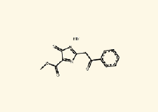 Br.COC(=O)C1=NC(CC(=O)c2ccccc2)=NC1=S